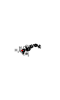 COc1ccc(-c2[nH]c3ccc(C4CCN(Cc5ccc(-n6ccnc6)cc5)CC4)cc3c2C(C)C)cc1OC